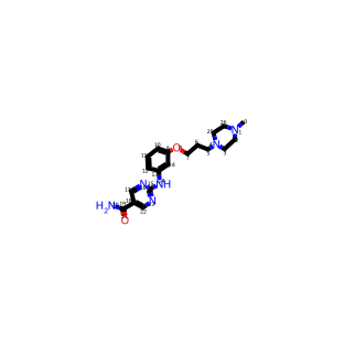 CN1CCN(CCCOc2cccc(Nc3ncc(C(N)=O)cn3)c2)CC1